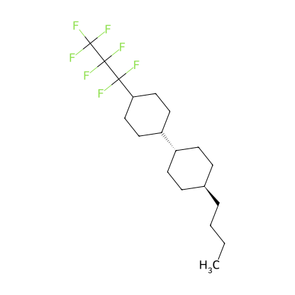 CCCC[C@H]1CC[C@H](C2CCC(C(F)(F)C(F)(F)C(F)(F)F)CC2)CC1